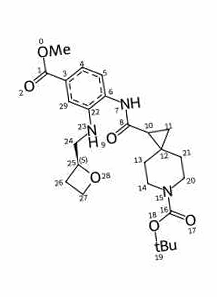 COC(=O)c1ccc(NC(=O)C2CC23CCN(C(=O)OC(C)(C)C)CC3)c(NC[C@@H]2CCO2)c1